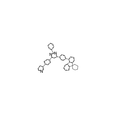 c1ccc(-c2nc(-c3ccc(-c4cccnc4)cc3)cc(-c3ccc(-c4cccc5c4-c4ccccc4C54CCCCC4)cc3)n2)cc1